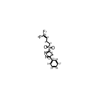 O=S(=O)(CCC=C(F)F)c1nnc(-c2ccccc2)s1